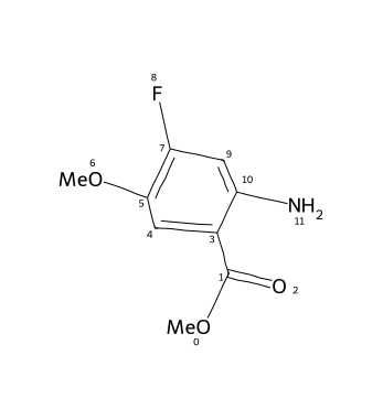 COC(=O)c1cc(OC)c(F)cc1N